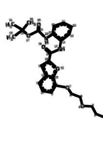 COCCOCCOc1cccc2cc(C(=O)Nc3ccccc3NC(=O)OC(C)(C)C)oc12